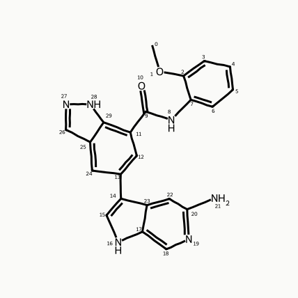 COc1ccccc1NC(=O)c1cc(-c2c[nH]c3cnc(N)cc23)cc2cn[nH]c12